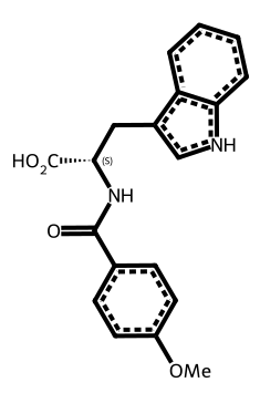 COc1ccc(C(=O)N[C@@H](Cc2c[nH]c3ccccc23)C(=O)O)cc1